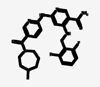 CN1CCCN(C(=O)c2ccc(Nc3cc(NCc4c(F)cccc4F)c(C(N)=O)cn3)nc2)CC1